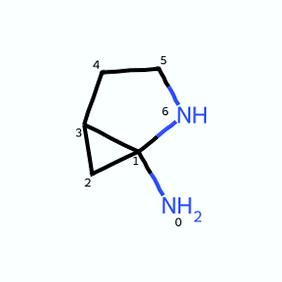 NC12CC1CCN2